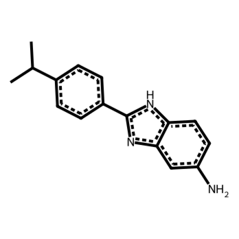 CC(C)c1ccc(-c2nc3cc(N)ccc3[nH]2)cc1